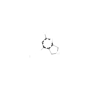 Cc1cc(C)c2c(n1)CNC2.Cl.Cl